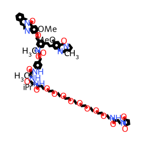 COc1cc2c(cc1CCc1cc(COc3cc4c(cc3OC)C(=O)N3Cc5ccccc5CC3C=N4)cc(N(C)C(=O)OCc3ccc(NC(=O)[C@H](C)NC(=O)[C@@H](NC(=O)CCOCCOCCOCCOCCOCCOCCOCCOCCNC(=O)CCN4C(=O)C=CC4=O)C(C)C)cc3)c1)N=C[C@]1(C)CCCN1C2=O